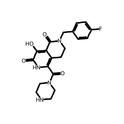 O=C(c1[nH]c(=O)c(O)c2c1CCN(Cc1ccc(F)cc1)C2=O)N1CCNCC1